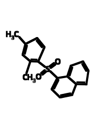 Cc1ccc(S(=O)(=O)c2cccc3ccccc23)c(C)c1